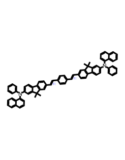 CC1(C)c2cc(/C=C/c3ccc(/C=C/c4ccc5c(c4)C(C)(C)c4cc(N(c6ccccc6)c6cccc7ccccc67)ccc4-5)cc3)ccc2-c2ccc(N(c3ccccc3)c3cccc4ccccc34)cc21